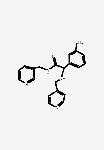 Cc1cccc(C(NCc2ccncc2)C(=O)NCc2cccnc2)c1